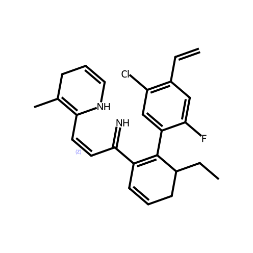 C=Cc1cc(F)c(C2=C(C(=N)/C=C\C3=C(C)CC=CN3)C=CCC2CC)cc1Cl